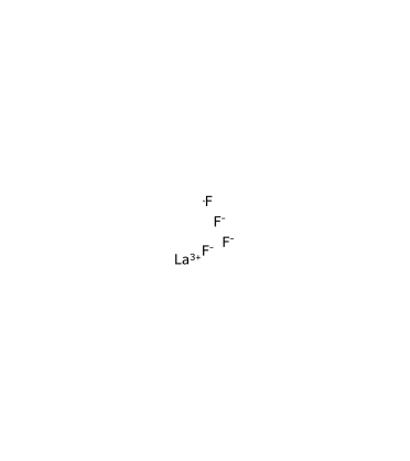 [F-].[F-].[F-].[F].[La+3]